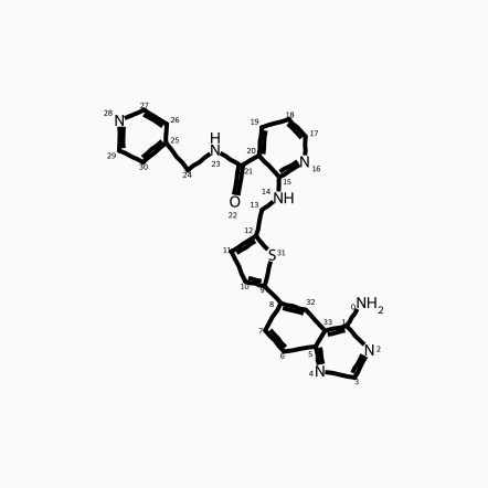 Nc1ncnc2ccc(-c3ccc(CNc4ncccc4C(=O)NCc4ccncc4)s3)cc12